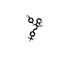 FC(F)(F)c1ccc(C=Cc2[nH]c3ncccc3c2Sc2ccc(Cl)cc2)cc1